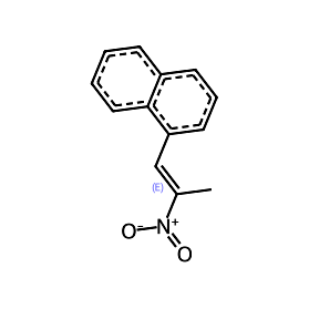 C/C(=C\c1cccc2ccccc12)[N+](=O)[O-]